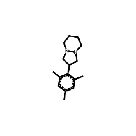 Cc1cc(C)c(C2CN3CCCCN3C2)c(C)c1